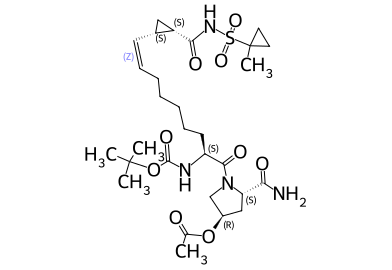 CC(=O)O[C@@H]1C[C@@H](C(N)=O)N(C(=O)[C@H](CCCCC/C=C\[C@@H]2C[C@@H]2C(=O)NS(=O)(=O)C2(C)CC2)NC(=O)OC(C)(C)C)C1